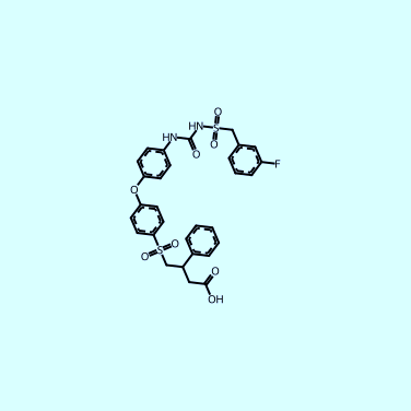 O=C(O)CC(CS(=O)(=O)c1ccc(Oc2ccc(NC(=O)NS(=O)(=O)Cc3cccc(F)c3)cc2)cc1)c1ccccc1